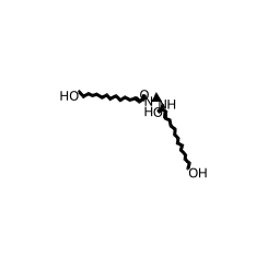 O=C(/C=C/CCCCCCCCCCCCO)N[C@H]1C[C@H]1NC(=O)/C=C/CCCCCCCCCCCCO